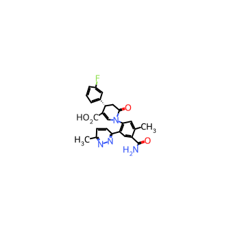 Cc1ccc(-c2cc(C(N)=O)c(C)cc2N2C=C(C(=O)O)[C@H](c3cccc(F)c3)CC2=O)nn1